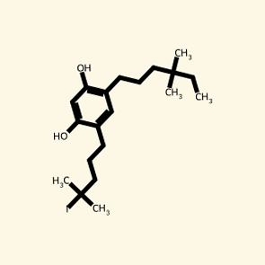 CCC(C)(C)CCCc1cc(CCCC(C)(C)I)c(O)cc1O